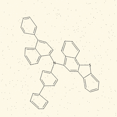 c1ccc(-c2ccc(N(c3ccc(-c4ccccc4)c4ccccc34)c3cc4c5ccccc5sc4c4ccccc34)cc2)cc1